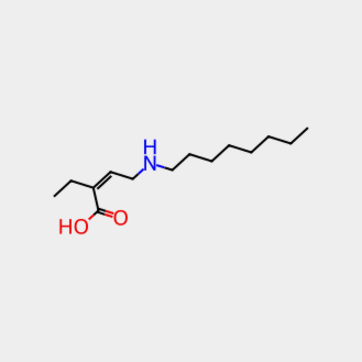 CCCCCCCCNCC=C(CC)C(=O)O